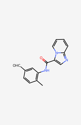 Cc1ccc(C=O)cc1NC(=O)c1cnc2ccccn12